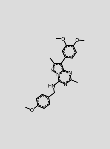 COc1ccc(CNc2nc(C)nc3c(-c4ccc(OC)c(OC)c4)c(C)nn23)cc1